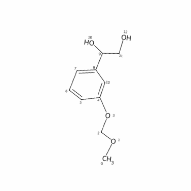 COCOc1cccc(C(O)CO)c1